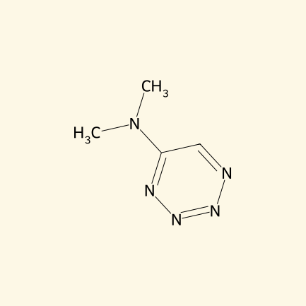 CN(C)c1cnnnn1